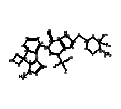 C[C@@H]1CCN(Cc2cc3c(C(F)(F)F)cn(-c4cccc(C5(c6nncn6C)CCC5)c4)c(=O)c3[nH]2)CC1(F)F